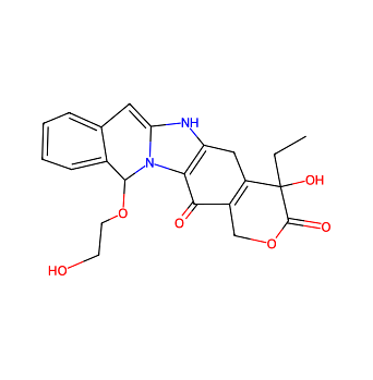 CCC1(O)C(=O)OCC2=C1CC1=C(C2=O)N2C(=Cc3ccccc3C2OCCO)N1